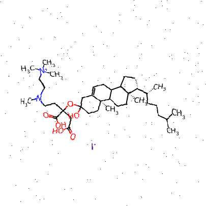 CC(C)CCC[C@@H](C)[C@H]1CCC2C3CC=C4CC(O)(OC(CCN(C)CC[N+](C)(C)C)(CC(=O)O)C(=O)O)CC[C@]4(C)C3CC[C@@]21C.[I-]